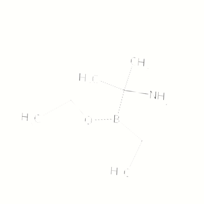 CCOB(CC)C(C)(C)N